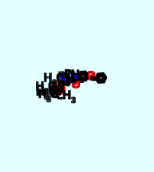 CCCN(C(=O)c1cc(B2OC(C)(C)C(C)(C)O2)n(C)c1C)c1ccc(OCc2ccccc2)cc1